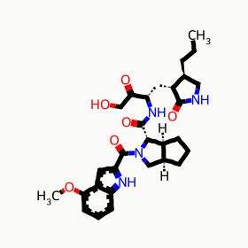 CCC[C@H]1CNC(=O)[C@@H]1C[C@H](NC(=O)[C@@H]1[C@H]2CCC[C@H]2CN1C(=O)c1cc2c(OC)cccc2[nH]1)C(=O)CO